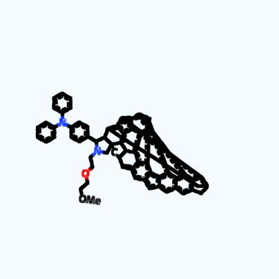 COCCOCCN1CC23CC4C=c5cc6cc7cc8cc9c%10c%11c%12c(c%13c%14c%15c(c5c5c6c7c6c8c%10c(c%12%14)c6c%155)C4C=%132)=C(CC=%11C9)C3C1c1ccc(N(c2ccccc2)c2ccccc2)cc1